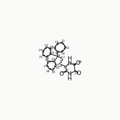 O=C1NC(=O)C(SSC(c2ccccc2)(c2ccccc2)c2ccccc2)NC1=O